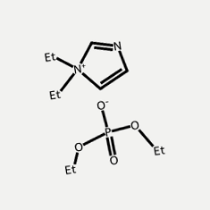 CCOP(=O)([O-])OCC.CC[N+]1(CC)C=CN=C1